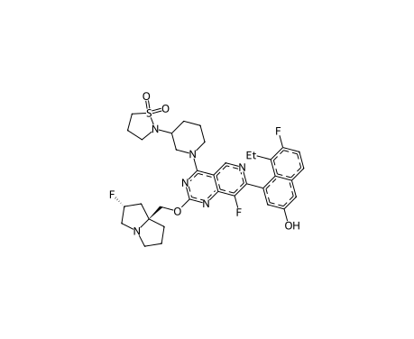 CCc1c(F)ccc2cc(O)cc(-c3ncc4c(N5CCCC(N6CCCS6(=O)=O)C5)nc(OC[C@@]56CCCN5C[C@H](F)C6)nc4c3F)c12